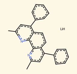 Cc1cc(-c2ccccc2)c2ccc3c(-c4ccccc4)cc(C)nc3c2n1.[LiH]